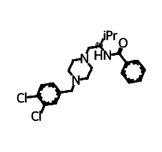 CC(C)[C@H](CN1CCN(Cc2ccc(Cl)c(Cl)c2)CC1)NC(=O)c1ccccc1